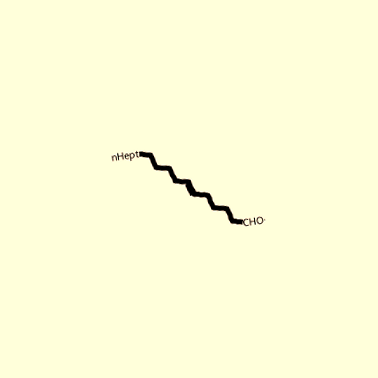 CCCCCCCCCCCC=CCCCC[C]=O